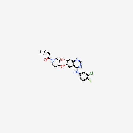 C=CC(=O)N1CCC(Oc2cc3c(Nc4ccc(F)c(Cl)c4)ncnc3cc2Br)CC1